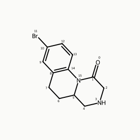 O=C1CNCC2CCc3cc(Br)ccc3N12